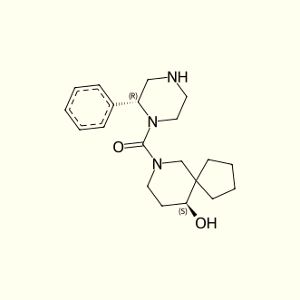 O=C(N1CC[C@H](O)C2(CCCC2)C1)N1CCNC[C@H]1c1ccccc1